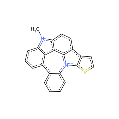 Cn1c2cccc3c4ccccc4n4c5sccc5c5ccc1c(c32)c54